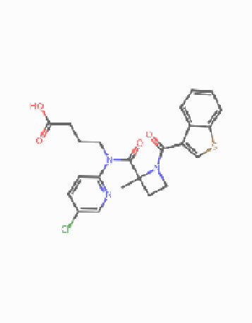 CC1(C(=O)N(CCCC(=O)O)c2ccc(Cl)cn2)CCN1C(=O)c1csc2ccccc12